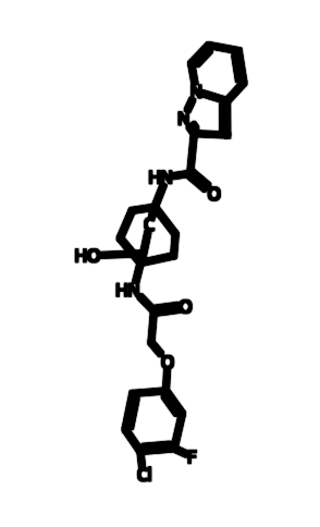 O=C(COc1ccc(Cl)c(F)c1)NC12CCC(NC(=O)c3cc4ccccn4n3)(CC1)CC2O